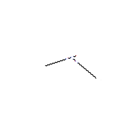 CCCCCCCCCCCCCCCCCCNC(=O)CCN(CCCOC)CCC(=O)NCCCCCCCCCCCCCCCCCC